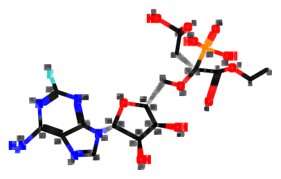 CCOC(=O)[C@@](CC(=O)O)(OC[C@H]1O[C@@H](n2cnc3c(N)nc(F)nc32)[C@H](O)[C@@H]1O)P(=O)(O)O